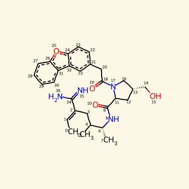 C/C=C(\CC(C)[C@@H](C)NC(=O)C1C[C@@H](CO)CN1C(=O)Cc1ccc2oc3ccccc3c2c1)C(=N)N